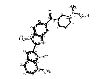 CCn1c(-c2nc3cc(C(=O)N4CCC[C@@H](N(C(=O)O)C(C)(C)C)C4)ccc3n2C)cc2cccc(OC)c21